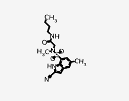 CCCCNC(=O)CN(C)S(=O)(=O)c1cc(C)cc2cc(C#N)[nH]c12